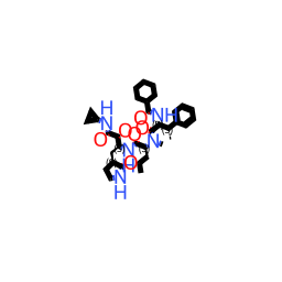 CCC[C@@H](C(=O)N[C@@H](C[C@@H]1CCNC1=O)C(=O)C(=O)NC1CC1)N(C)C(=O)[C@H](NC(=O)C1CCCCC1)[C@@H](C)c1ccccc1